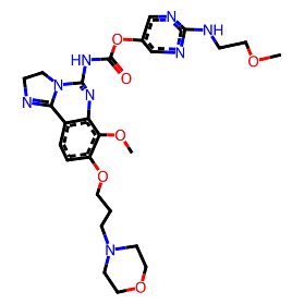 COCCNc1ncc(OC(=O)NC2=Nc3c(ccc(OCCCN4CCOCC4)c3OC)C3=NCCN23)cn1